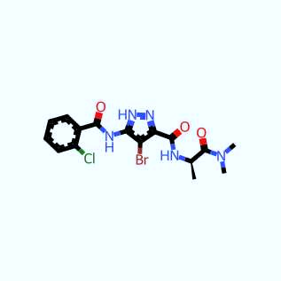 C[C@@H](NC(=O)c1n[nH]c(NC(=O)c2ccccc2Cl)c1Br)C(=O)N(C)C